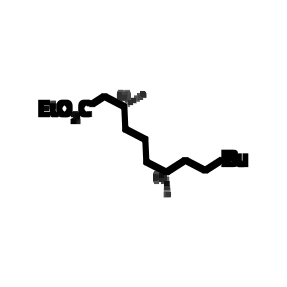 CCOC(=O)C[C@H](C)CCC[C@@H](C)CCC(C)CC